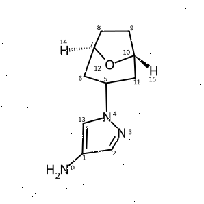 Nc1cnn(C2C[C@H]3CC[C@H](C2)O3)c1